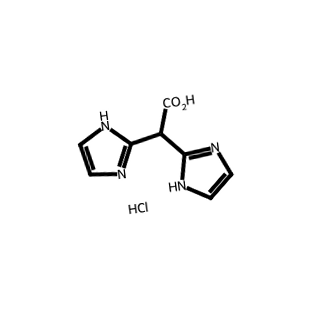 Cl.O=C(O)C(c1ncc[nH]1)c1ncc[nH]1